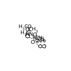 CN[C@H](Cc1ccc2ccccc2c1)C(=O)N(C)C(Cc1ccccc1)C(=O)NCC(C)(C)OC(C)=O